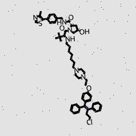 Cc1ncsc1-c1ccc(CNC(=O)[C@@H]2C[C@@H](O)CN2C(=O)C(NCCCCCCCN2CCN(CCOc3ccc(/C(=C(/CCCl)c4ccccc4)c4ccccc4)cc3)CC2)C(C)(C)C)cc1